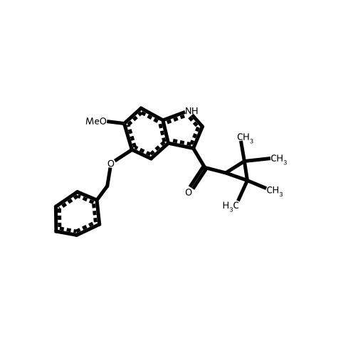 COc1cc2[nH]cc(C(=O)C3C(C)(C)C3(C)C)c2cc1OCc1ccccc1